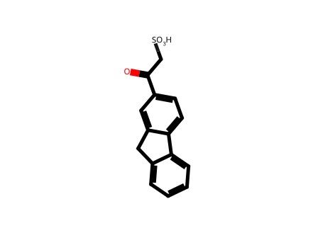 O=C(CS(=O)(=O)O)c1ccc2c(c1)Cc1ccccc1-2